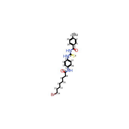 CC(C)(C)c1ccc(C(=O)NC(=S)Nc2ccc(NC(=O)CCCCCCCBr)cc2)cc1